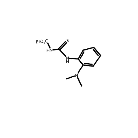 CCOC(=O)NC(=S)Nc1ccccc1N(C)C